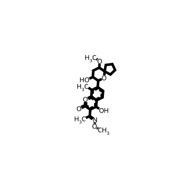 CON=C(C)c1c(O)c2ccc(C3OC4(CCCC4)C(OC)[CH]C3O)c(C)c2oc1=O